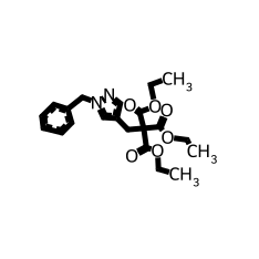 CCOC(=O)C(Cc1cnn(Cc2ccccc2)c1)(C(=O)OCC)C(=O)OCC